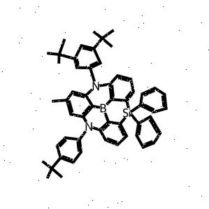 Cc1cc2c3c(c1)N(c1cc(C(C)(C)C)cc(C(C)(C)C)c1)c1cccc4c1B3c1c(cccc1[Si]4(c1ccccc1)c1ccccc1)N2c1ccc(C(C)(C)C)cc1